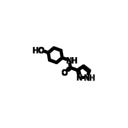 O=C(NC1CCC(O)CC1)c1cc[nH]n1